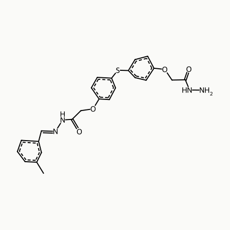 Cc1cccc(C=NNC(=O)COc2ccc(Sc3ccc(OCC(=O)NN)cc3)cc2)c1